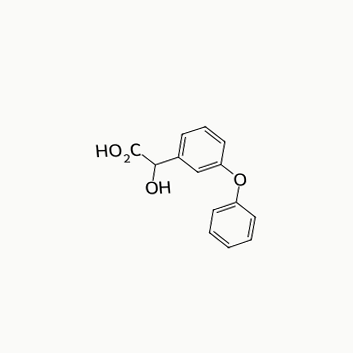 O=C(O)C(O)c1cccc(Oc2ccccc2)c1